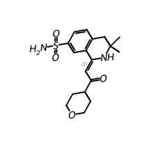 CC1(C)Cc2ccc(S(N)(=O)=O)cc2/C(=C/C(=O)C2CCOCC2)N1